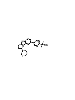 CC(C)(O)c1ncc(-c2ccc3nc4n(c3c2)C(C2CCCCC2)CC4)cn1